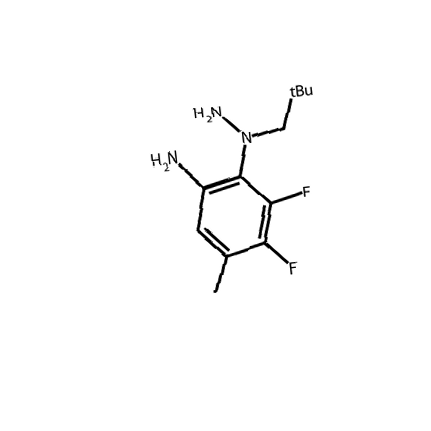 Cc1cc(N)c(N(N)CC(C)(C)C)c(F)c1F